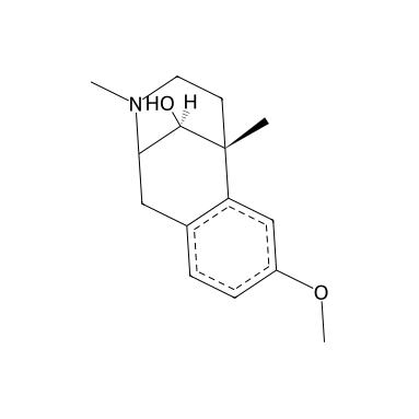 COc1ccc2c(c1)[C@@]1(C)CCN(C)C(C2)[C@H]1O